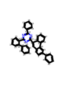 c1ccc(-c2ccc3cc(-c4nc(-c5ccccc5)nc(-c5ccccc5-c5ccccc5)n4)c4ccccc4c3c2)cc1